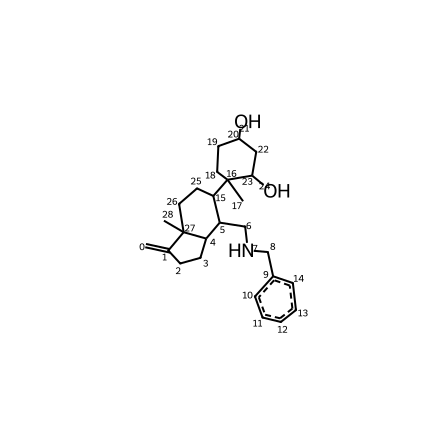 C=C1CCC2C(CNCc3ccccc3)C(C3(C)CCC(O)CC3O)CCC12C